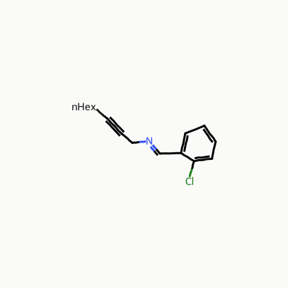 CCCCCCC#CCN=Cc1ccccc1Cl